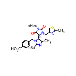 CCCCCCN1C(=O)/C(=C2/C(C)N=C(CCCC)N2Cc2ccc(C(=O)O)cc2)N(Cc2csc(C)n2)C1=O